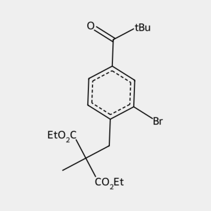 CCOC(=O)C(C)(Cc1ccc(C(=O)C(C)(C)C)cc1Br)C(=O)OCC